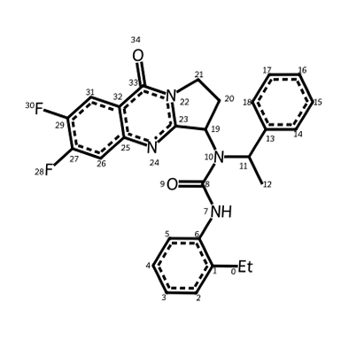 CCc1ccccc1NC(=O)N(C(C)c1ccccc1)C1CCn2c1nc1cc(F)c(F)cc1c2=O